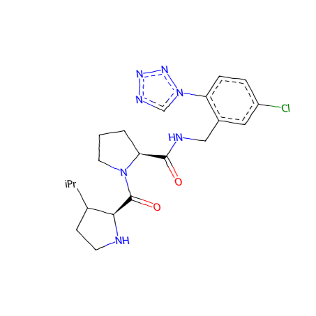 CC(C)C1CCN[C@@H]1C(=O)N1CCC[C@H]1C(=O)NCc1cc(Cl)ccc1-n1cnnn1